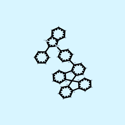 c1ccc(-c2nc3ccccc3n2-c2ccc(-c3cccc4c3-c3ccccc3C43c4ccccc4-c4ccccc43)cc2)cc1